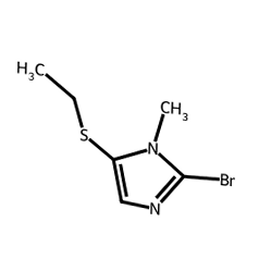 CCSc1cnc(Br)n1C